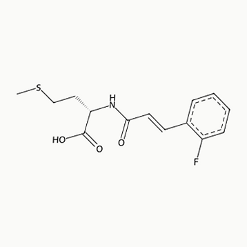 CSCC[C@H](NC(=O)C=Cc1ccccc1F)C(=O)O